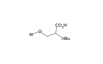 CCCCC(CO[N])C(=O)O